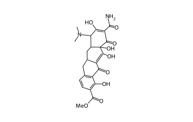 COC(=O)c1ccc2c(c1O)C(=O)C1=C(O)C3(O)C(=O)C(C(N)=O)=C(O)C(N(C)C)C3CC1C2